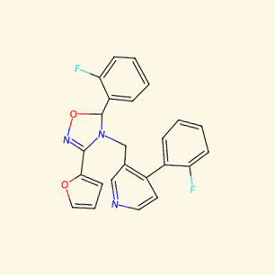 Fc1ccccc1-c1ccncc1CN1C(c2ccco2)=NOC1c1ccccc1F